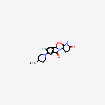 O=CC1CCN(c2cc3c(cc2F)C(O)N(C2CCC(=O)NC2=O)C3=O)CC1